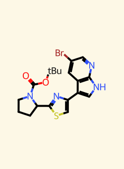 CC(C)(C)OC(=O)N1CCCC1c1nc(-c2c[nH]c3ncc(Br)cc23)cs1